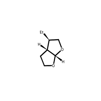 CC[C@H]1CO[C@@H]2OCC[C@H]12